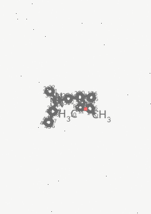 Cc1ccc(S2(c3ccc(C)cc3)c3ccccc3-c3ccc(-c4ccc(-c5nc(-c6ccccc6)nc(-c6ccc(-c7ccccc7)cc6)n5)cc4)cc32)cc1